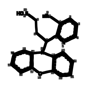 CCCCc1cccnc1C(CCS(=O)(=O)O)N1c2ccccc2Oc2ccccc21